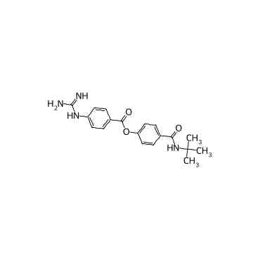 CC(C)(C)NC(=O)c1ccc(OC(=O)c2ccc(NC(=N)N)cc2)cc1